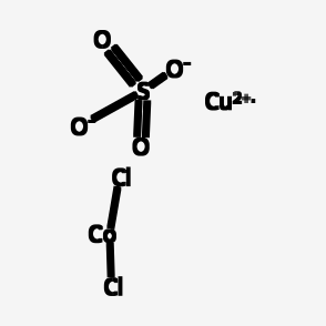 O=S(=O)([O-])[O-].[Cl][Co][Cl].[Cu+2]